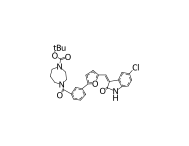 CC(C)(C)OC(=O)N1CCCN(C(=O)c2cccc(-c3ccc(C=C4C(=O)Nc5ccc(Cl)cc54)o3)c2)CC1